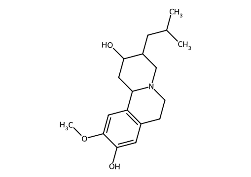 COc1cc2c(cc1O)CCN1CC(CC(C)C)C(O)CC21